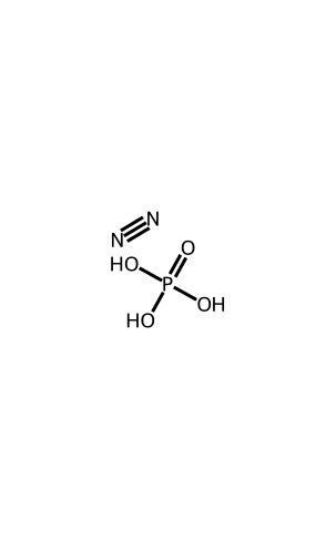 N#N.O=P(O)(O)O